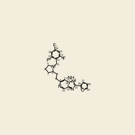 N[N@@+]12C=C(CCC3CCCN3Cc3c(F)cc(F)cc3F)N=CC1=NC(c1ccco1)=N2